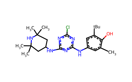 Cc1cc(Nc2nc(Cl)nc(NC3CC(C)(C)NC(C)(C)C3)n2)cc(C(C)(C)C)c1O